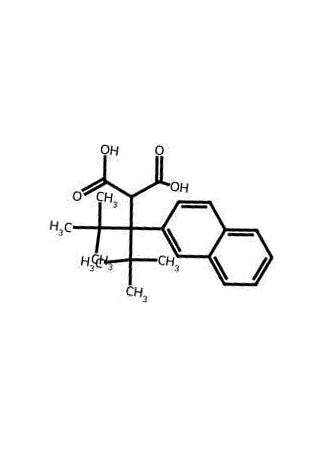 CC(C)(C)C(c1ccc2ccccc2c1)(C(C(=O)O)C(=O)O)C(C)(C)C